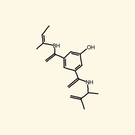 C=C(B/C(C)=C\C)c1cc(O)cc(C(=C)NC(C)C(=C)C)c1